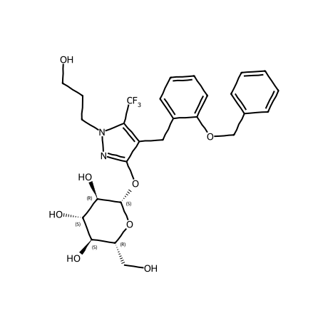 OCCCn1nc(O[C@@H]2O[C@H](CO)[C@@H](O)[C@H](O)[C@H]2O)c(Cc2ccccc2OCc2ccccc2)c1C(F)(F)F